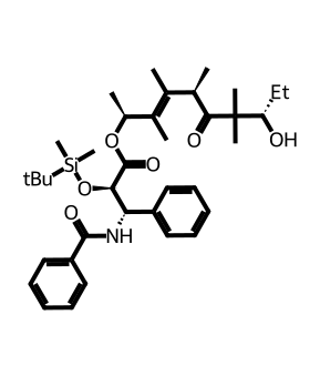 CC[C@H](O)C(C)(C)C(=O)[C@H](C)/C(C)=C(\C)[C@H](C)OC(=O)[C@H](O[Si](C)(C)C(C)(C)C)[C@@H](NC(=O)c1ccccc1)c1ccccc1